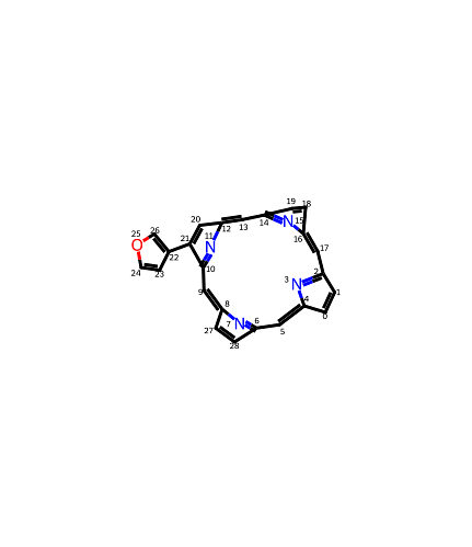 C1=CC2=NC1=CC1=NC(=CC3=NC(=CC4=NC(=C2)C=C4)C=C3c2ccoc2)C=C1